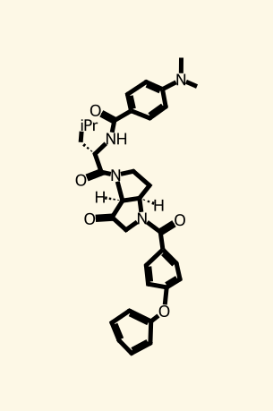 CC(C)C[C@H](NC(=O)c1ccc(N(C)C)cc1)C(=O)N1CC[C@@H]2[C@H]1C(=O)CN2C(=O)c1ccc(Oc2ccccc2)cc1